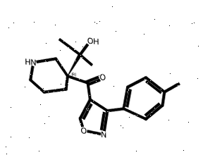 Cc1ccc(-c2nocc2C(=O)[C@]2(C(C)(C)O)CCCNC2)cc1